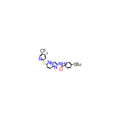 CC(C)(C)c1ccc(C(=O)Nc2cn3nc(Sc4ccc(C(F)(F)F)cn4)ccc3n2)cc1